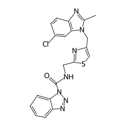 Cc1nc2ccc(Cl)cc2n1Cc1csc(CNC(=O)n2nnc3ccccc32)n1